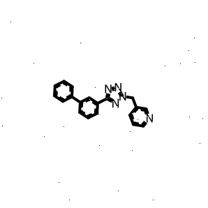 c1ccc(-c2cccc(-c3nnn(Cc4cccnc4)n3)c2)cc1